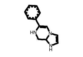 [C]1NC(c2ccccc2)=CN2C=CNC12